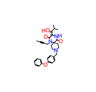 CC#CCN1C(=O)[C@@H]([C@H](O)C(C)C)NC(=O)C12CCN(Cc1ccc(Oc3ccccc3)cc1)CC2